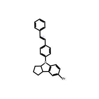 CC(C)c1ccc2c(c1)C1CCCC1N2c1ccc(/C=C/c2ccccc2)cc1